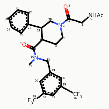 CC(=O)NCC(=O)N1CCC(C(=O)N(C)Cc2cc(C(F)(F)F)cc(C(F)(F)F)c2)C(c2ccccc2)C1